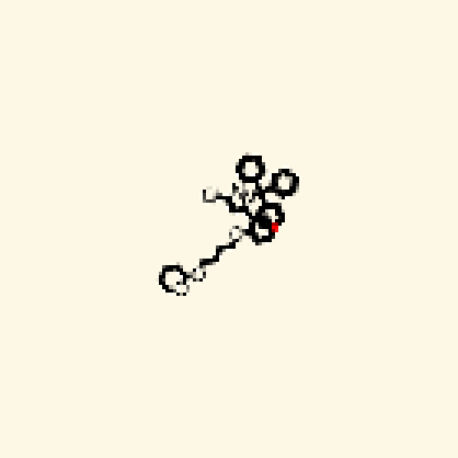 Fc1cccc(OCCCCOC2CCCCO2)c1-c1cc(Cl)nn1C(c1ccccc1)(c1ccccc1)c1ccccc1